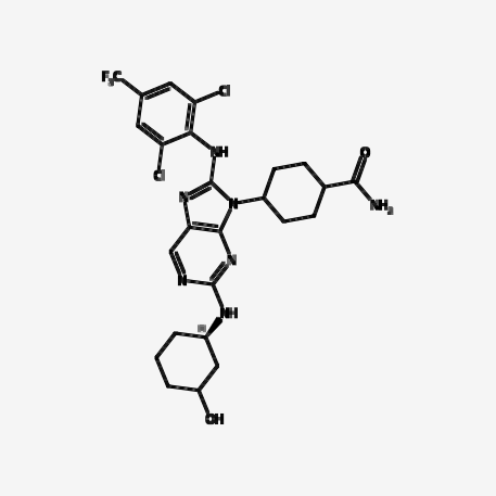 NC(=O)C1CCC(n2c(Nc3c(Cl)cc(C(F)(F)F)cc3Cl)nc3cnc(N[C@@H]4CCCC(O)C4)nc32)CC1